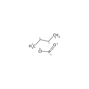 CCCC.O=PCl